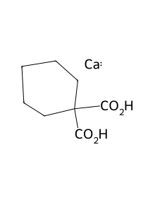 O=C(O)C1(C(=O)O)CCCCC1.[Ca]